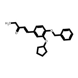 CCC(=O)C=Cc1ccc(OCc2ccccc2)c(OC2CCCC2)c1